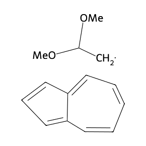 [CH2]C(OC)OC.c1ccc2cccc-2cc1